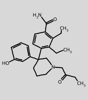 CCC(=O)CN1CCCC(c2cccc(O)c2)(c2ccc(C(N)=O)c(CC)c2CC)C1